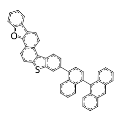 c1ccc2c(-c3ccc(-c4ccc5c(c4)sc4ccc6c(ccc7c8ccccc8oc76)c45)c4ccccc34)c3ccccc3cc2c1